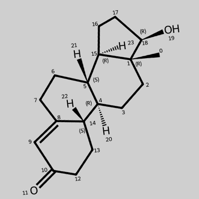 C[C@@]12CC[C@@H]3[C@H](CCC4=CC(=O)CC[C@H]43)[C@H]1CC[C@H]2O